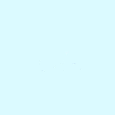 NC1=N[C@@]2(c3cc(/C=C(\F)c4cnc(CF)cn4)ccc3F)CO[C@H](C(F)(F)F)[C@H]2CS1